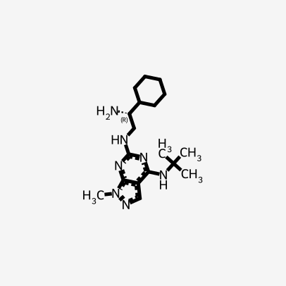 Cn1ncc2c(NC(C)(C)C)nc(NC[C@H](N)C3CCCCC3)nc21